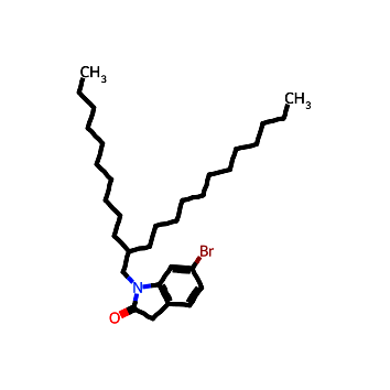 CCCCCCCCCCCCC(CCCCCCCCCC)CN1C(=O)Cc2ccc(Br)cc21